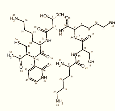 C[C@@H](O)[C@H](NC(=O)C(CCCCN)NC(=O)C(CO)NC(=O)C(N)CCCCN)C(=O)NC(CCCCN)C(=O)N(c1ccc[nH]c1=S)[C@H](CS)C(N)=O